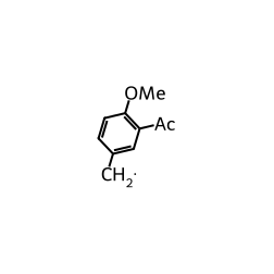 [CH2]C(=O)c1cc([CH2])ccc1OC